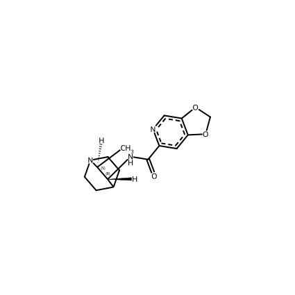 C[C@H]1[C@H](NC(=O)c2cc3c(cn2)OCO3)C2CCN1CC2